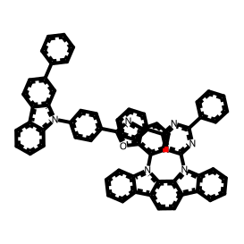 c1ccc(-c2ccc3c4ccccc4n(-c4ccc(-c5nc6cccc(-n7c8ccccc8c8ccc9c%10ccccc%10n(-c%10nc(-c%11ccccc%11)nc(-c%11ccccc%11)n%10)c9c87)c6o5)cc4)c3c2)cc1